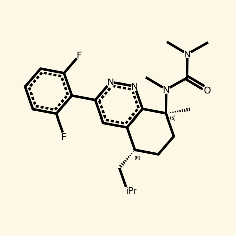 CC(C)C[C@H]1CC[C@](C)(N(C)C(=O)N(C)C)c2nnc(-c3c(F)cccc3F)cc21